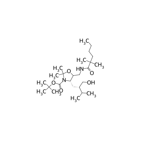 CCCCC(C)(C)C(=O)NCC1OC(C)(C)N(C(=O)OC(C)(C)C)[C@H]1C[C@H](CO)C(C)C